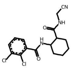 N#CCNC(=O)C1CCCCC1NC(=O)c1cccc(Cl)c1Cl